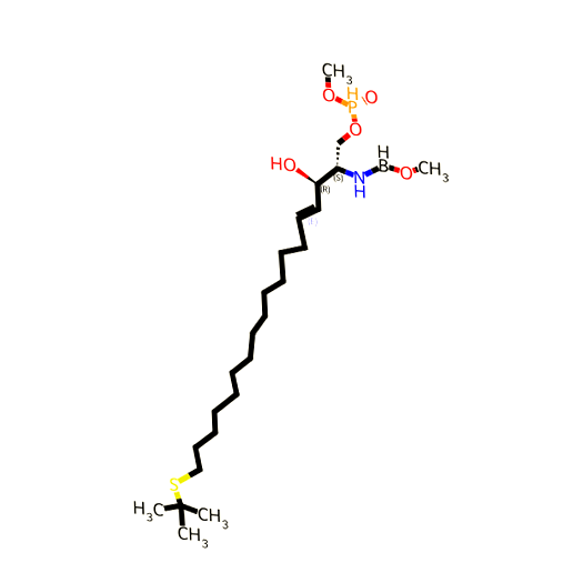 COBN[C@@H](CO[PH](=O)OC)[C@H](O)/C=C/CCCCCCCCCCCCCSC(C)(C)C